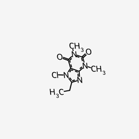 CCc1nc2c(c(=O)n(C)c(=O)n2C)n1Cl